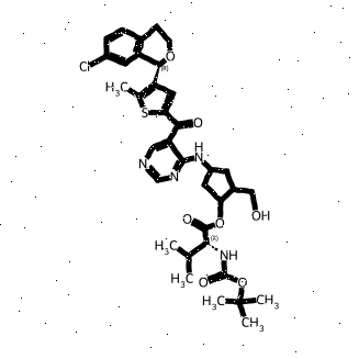 Cc1sc(C(=O)c2cncnc2NC2CC(CO)C(OC(=O)[C@H](NC(=O)OC(C)(C)C)C(C)C)C2)cc1[C@@H]1OCCc2ccc(Cl)cc21